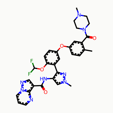 Cc1ccc(Oc2ccc(OC(F)F)c(-c3nn(C)cc3NC(=O)c3cnn4cccnc34)c2)cc1C(=O)N1CCN(C)CC1